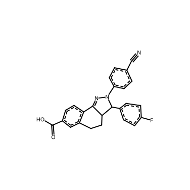 N#Cc1ccc(N2N=C3c4ccc(C(=O)O)cc4CCC3C2c2ccc(F)cc2)cc1